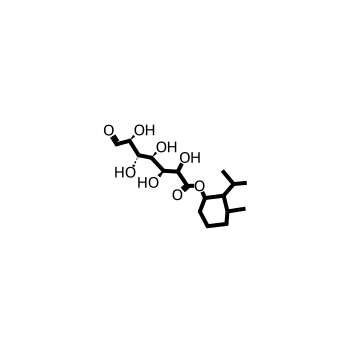 CC(C)C1C(C)CCCC1OC(=O)C(O)[C@@H](O)[C@@H](O)[C@H](O)[C@@H](O)C=O